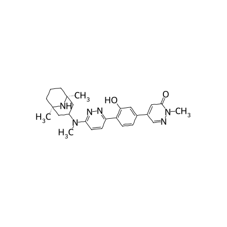 CN(c1ccc(-c2ccc(-c3cnn(C)c(=O)c3)cc2O)nn1)C1C[C@]2(C)CCC[C@](C)(C1)N2